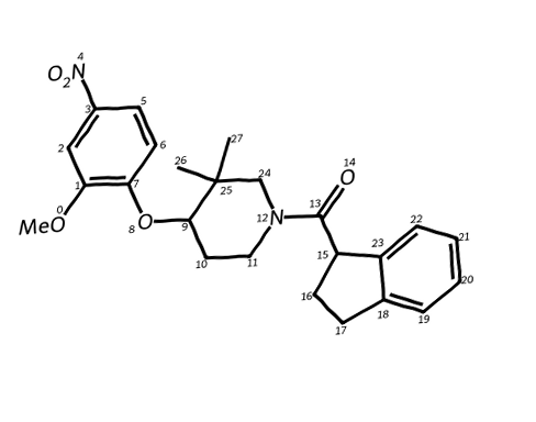 COc1cc([N+](=O)[O-])ccc1OC1CCN(C(=O)C2CCc3ccccc32)CC1(C)C